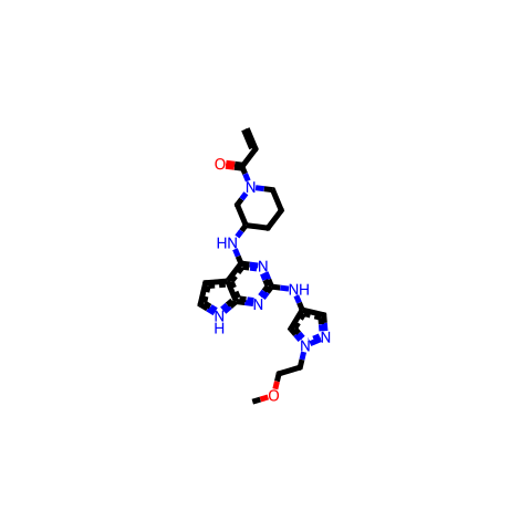 C=CC(=O)N1CCCC(Nc2nc(Nc3cnn(CCOC)c3)nc3[nH]ccc23)C1